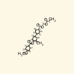 C=CC(=O)OCOC(=O)c1ccc(-c2ccc(OC(=O)c3ccc(OC)cc3)c(C)c2)cc1